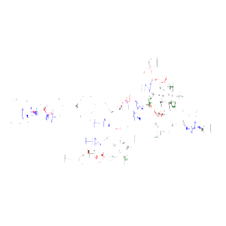 COC(=O)N[C@H](C(=O)N[C@@H](Cc1ccc(-c2ccc(N3CC4CCC(C3)N4C3COC3)nc2)cc1)[C@@H](O)CN(Cc1c(F)cc(-c2ccn(C)n2)cc1F)NC(=O)[C@@H](NC(=O)OC)C(C)(C)C(F)(F)F)C(C)(C)C(F)(F)F